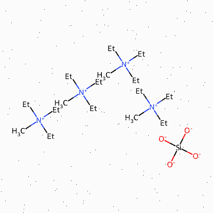 CC[N+](C)(CC)CC.CC[N+](C)(CC)CC.CC[N+](C)(CC)CC.CC[N+](C)(CC)CC.[O-][Si]([O-])([O-])[O-]